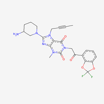 CC#CCn1c(N2CCCC(N)C2)nc2c1c(=O)n(CC(=O)c1cccc3c1OC(F)(F)O3)c(=O)n2C